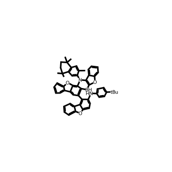 Cc1cc2c(cc1N1c3c(oc4ccccc34)Bc3c(-c4c(Nc5ccc(C(C)(C)C)cc5)ccc5oc6ccccc6c45)cc4c(oc5ccccc54)c31)C(C)(C)CCC2(C)C